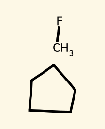 C1CCCC1.CF